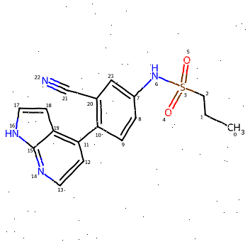 CCCS(=O)(=O)Nc1ccc(-c2ccnc3[nH]ccc23)c(C#N)c1